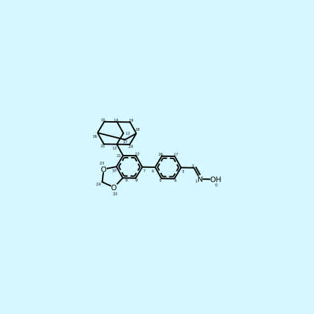 ON=Cc1ccc(-c2cc3c(c(C45CC6CC(CC(C6)C4)C5)c2)OCO3)cc1